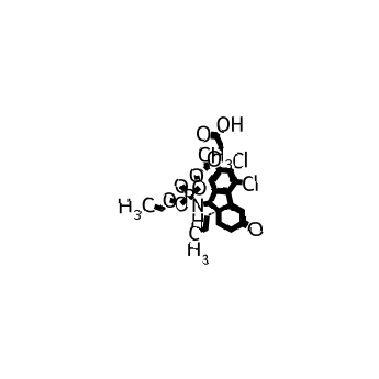 CCC[C@@]12CCC(=O)C=C1c1c(cc(OCC(=O)O)c(Cl)c1Cl)C2NP(=O)(OOCC)OOCC